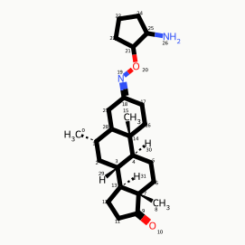 C[C@H]1C[C@@H]2[C@H](CC[C@]3(C)C(=O)CC[C@@H]23)[C@@]2(C)CCC(=NOC3CCCC3N)CC12